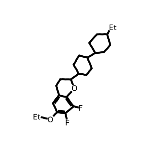 CCOc1cc2c(c(F)c1F)OC(C1CCC(C3CCC(CC)CC3)CC1)CC2